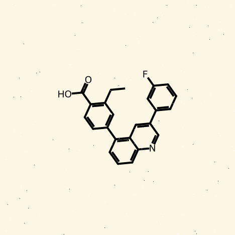 CCc1cc(-c2cccc3ncc(-c4cccc(F)c4)cc23)ccc1C(=O)O